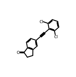 O=C1CCc2cc(C#Cc3c(Cl)cccc3Cl)ccc21